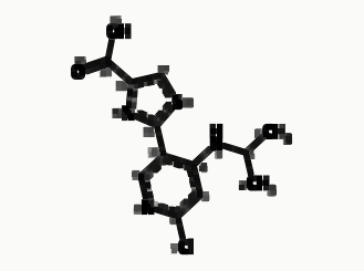 CC(C)Nc1cc(Cl)ncc1-c1nc(C(=O)O)cs1